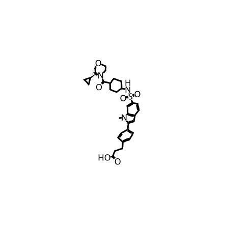 Cn1c(-c2ccc(CCC(=O)O)cc2)cc2ccc(S(=O)(=O)NC3CCC(C(=O)N4CCOC[C@@H]4C4CC4)CC3)cc21